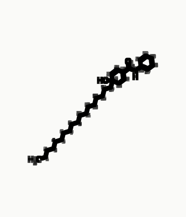 CCCCCCCCCCCCCCCCCCC1(O)C=CC(C(=O)Nc2ccccc2)=CC1